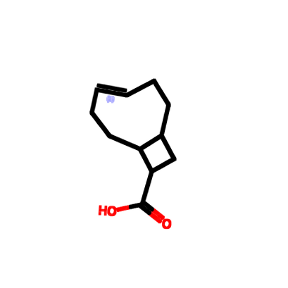 O=C(O)C1CC2CC/C=C/CCC21